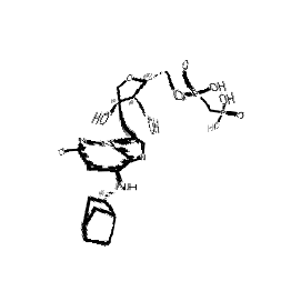 O=P(O)(O)CP(=O)(O)OC[C@H]1OC[C@@](O)(c2cnc3c(N[C@H]4CC5CCC4C5)cc(Cl)nn23)[C@@H]1O